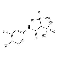 O=P(O)(O)C(C(=S)Nc1ccc(Cl)c(Cl)c1)P(=O)(O)O